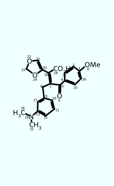 COc1ccc(C(=O)C(Cc2cccc(N(C)C)c2)=C(C(=O)O)C2=COCO2)cc1